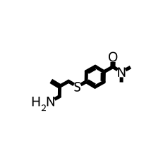 C=C(CN)CSc1ccc(C(=O)N(C)C)cc1